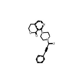 O=C1OCCc2ccnc(N3CCN(C(=O)C#Cc4ccccc4)CC3)c21